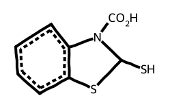 O=C(O)N1c2ccccc2SC1S